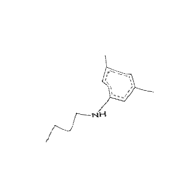 CCCCNc1cc(C)cc(C)c1